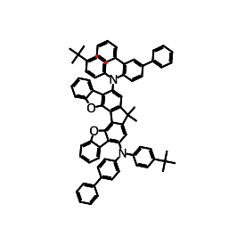 CC(C)(C)c1ccc(N(c2ccc(-c3ccccc3)cc2)c2cc3c(c4oc5ccccc5c24)-c2c(cc(N(c4ccc(C(C)(C)C)cc4)c4ccc(-c5ccccc5)cc4-c4ccccc4)c4c2oc2ccccc24)C3(C)C)cc1